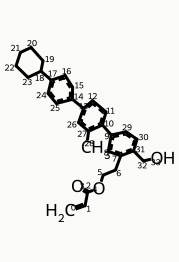 C=CC(=O)OCCc1cc(-c2ccc(-c3ccc(C4CCCCC4)cc3)cc2C)ccc1CO